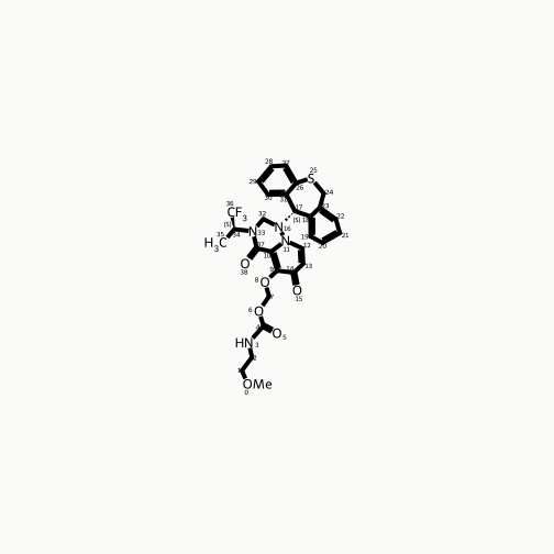 COCCNC(=O)OCOc1c2n(ccc1=O)N([C@H]1c3ccccc3CSc3ccccc31)CN([C@@H](C)C(F)(F)F)C2=O